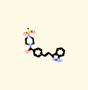 CS(=O)(=O)N1CCN(C(=O)c2ccc(/C=C/c3n[nH]c4ccccc34)cc2)CC1